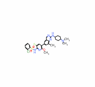 COc1nc(NS(=O)(=O)c2ccccc2Cl)c(F)cc1-c1cc(C)c2nc(NC3CCC(N(C)C)CC3)ncc2c1